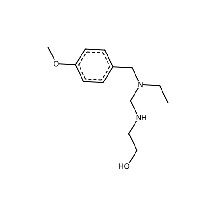 CCN(CNCCO)Cc1ccc(OC)cc1